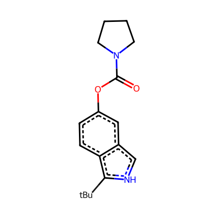 CC(C)(C)c1[nH]cc2cc(OC(=O)N3CCCC3)ccc12